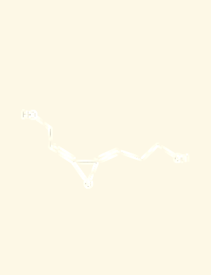 OCC=C1OC1=CCCO